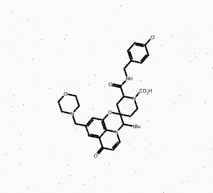 CC(C)(C)C1n2ccc(=O)c3cc(CN4CCOCC4)cc(c32)OC12CCN(C(=O)O)C(C(=O)NCc1ccc(Cl)cc1)C2